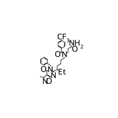 CCC(CCCCN(CCC(N)=O)C(=O)c1ccc(C(F)(F)F)cc1)c1nc2onc(C)c2c(=O)n1Cc1ccccc1